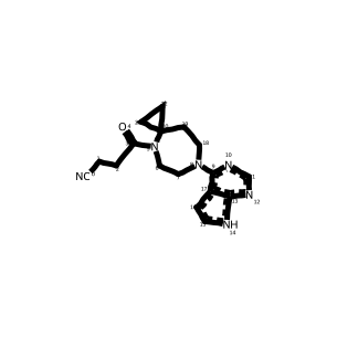 N#CCCC(=O)N1CCN(c2ncnc3[nH]ccc23)CCC12CC2